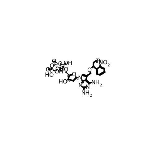 CC(C)CC(OCc1cn([C@H]2C[C@@H](O)[C@@H](COP(=O)(O)OP(=O)(O)OP(=O)(O)O)O2)c2nc(N)nc(N)c12)c1ccccc1[N+](=O)[O-]